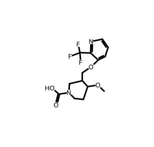 COC1CCN(C(=O)O)CC1COc1cccnc1C(F)(F)F